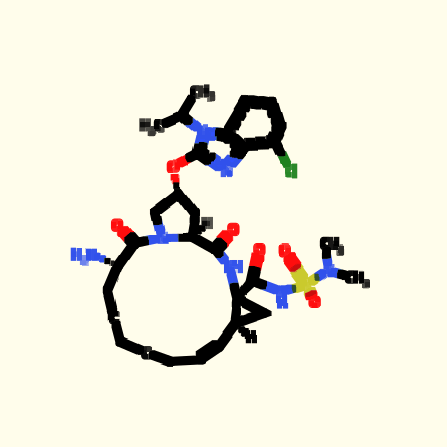 CC(C)n1c(O[C@@H]2C[C@H]3C(=O)N[C@]4(C(=O)NS(=O)(=O)N(C)C)C[C@H]4/C=C\CCCCC[C@H](N)C(=O)N3C2)nc2c(Cl)cccc21